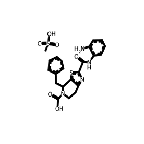 CS(=O)(=O)O.Nc1ccccc1NC(=O)c1nc2c(s1)C(Cc1ccccc1)N(C(=O)O)CC2